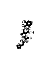 O=C(Cc1cccs1)NC1C(=O)N2C(C(=O)O)=C(CNC(=O)c3c(Cl)cccc3Cl)CS[C@H]12